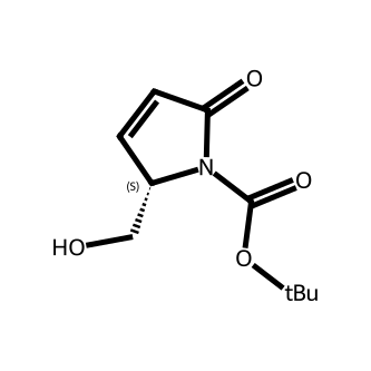 CC(C)(C)OC(=O)N1C(=O)C=C[C@H]1CO